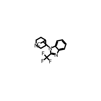 FC(F)(F)c1nc2ccccc2n1C1CN2CCC1CC2